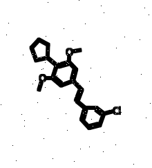 COc1cc(C=Cc2cccc(Cl)c2)cc(OC)c1C1CCCC1